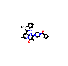 Cc1cc(C(C)Nc2ccccc2C(=O)O)c2nc(N3CCN(C(=O)C4CCCC4)CC3)c(C)c(=O)n2c1